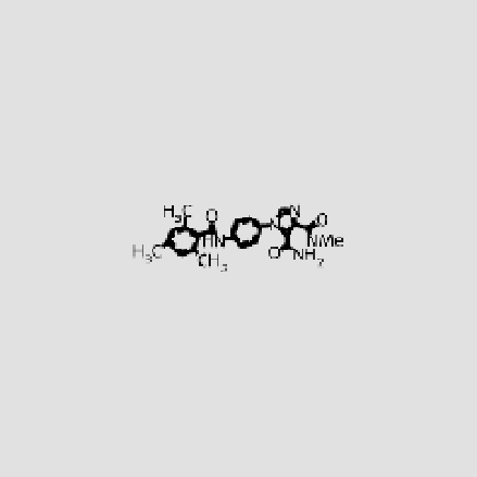 CNC(=O)c1ncn(-c2ccc(NC(=O)c3c(C)cc(C)cc3C)cc2)c1C(N)=O